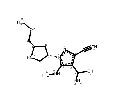 C#Cc1nn([C@@H]2CN[C@@H](COC)C2)c(NC)c1C(N)O